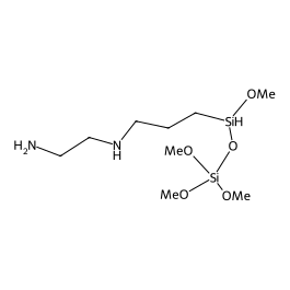 CO[SiH](CCCNCCN)O[Si](OC)(OC)OC